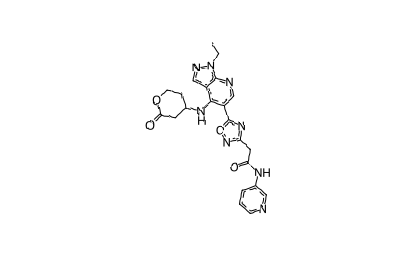 CCn1ncc2c(NC3CCOC(=O)C3)c(-c3nc(CC(=O)Nc4cccnc4)no3)cnc21